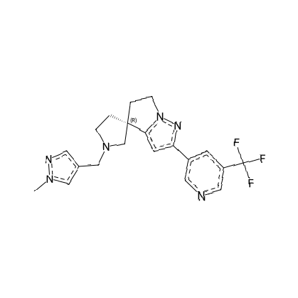 Cn1cc(CN2CC[C@@]3(CCn4nc(-c5cncc(C(F)(F)F)c5)cc43)C2)cn1